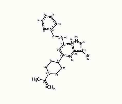 C=C(C)N1CCC(c2cc(NCc3cccnc3)n3ncc(Br)c3n2)CC1